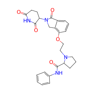 O=C1CCC(N2Cc3c(OCCN4CCCC4C(=O)Nc4ccccc4)cccc3C2=O)C(=O)N1